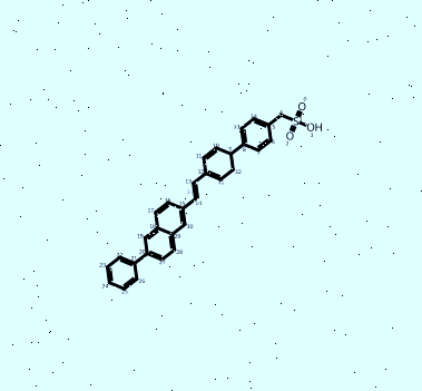 O=S(=O)(O)Cc1ccc(C2C=CC(/C=C/c3ccc4cc(-c5ccccc5)ccc4c3)=CC2)cc1